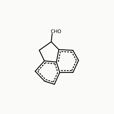 O=CC1Cc2cccc3cccc1c23